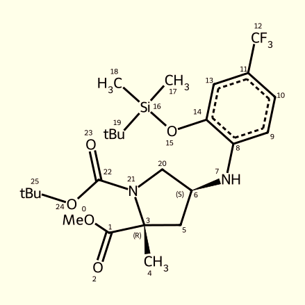 COC(=O)[C@@]1(C)C[C@H](Nc2ccc(C(F)(F)F)cc2O[Si](C)(C)C(C)(C)C)CN1C(=O)OC(C)(C)C